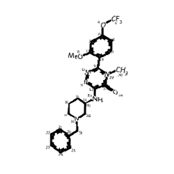 COc1cc(OC(F)(F)F)ccc1-c1nnc(N[C@@H]2CCCN(Cc3ccccc3)C2)c(=O)n1C